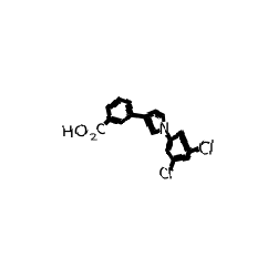 O=C(O)c1cccc(-c2ccn(-c3cc(Cl)cc(Cl)c3)c2)c1